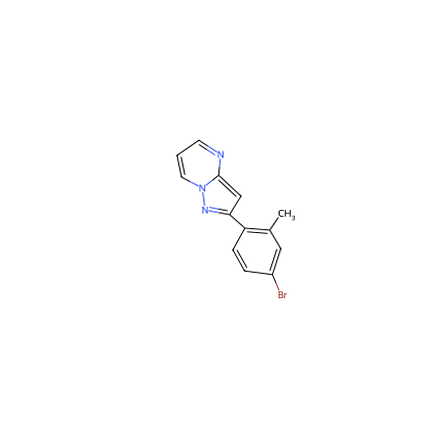 Cc1cc(Br)ccc1-c1cc2ncccn2n1